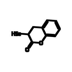 O=C1Oc2ccccc2CC1[SeH]